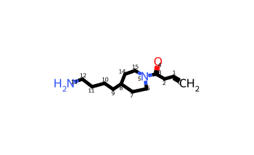 C=CCC(=O)N1CCC(CCCCN)CC1